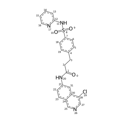 O=C(CCc1ccc(S(=O)(=O)Nc2ccccn2)cc1)Nc1ccc2cncc(Cl)c2c1